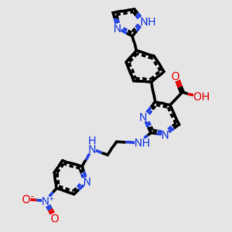 O=C(O)c1cnc(NCCNc2ccc([N+](=O)[O-])cn2)nc1-c1ccc(-c2ncc[nH]2)cc1